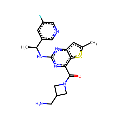 Cc1cc2nc(N[C@@H](C)c3cncc(F)c3)nc(C(=O)N3CC(CN)C3)c2s1